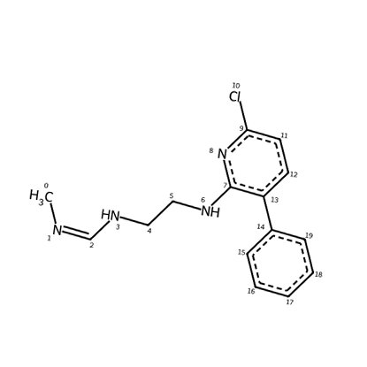 C/N=C\NCCNc1nc(Cl)ccc1-c1ccccc1